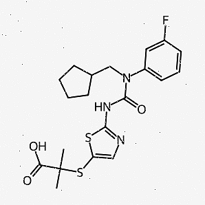 CC(C)(Sc1cnc(NC(=O)N(CC2CCCC2)c2cccc(F)c2)s1)C(=O)O